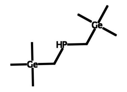 [CH3][Ge]([CH3])([CH3])[CH2]P[CH2][Ge]([CH3])([CH3])[CH3]